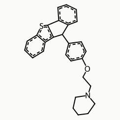 c1ccc2c(c1)-c1sc3ccccc3c1C2c1ccc(OCCN2CCCCC2)cc1